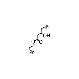 CC(C)CCOC(=O)CC(O)CC(C)C